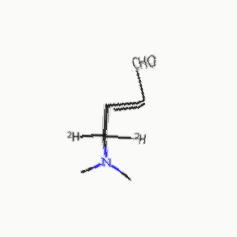 [2H]C([2H])(C=CC=O)N(C)C